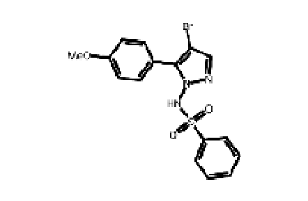 COc1ccc(-c2c(Br)cnn2NS(=O)(=O)c2ccccc2)cc1